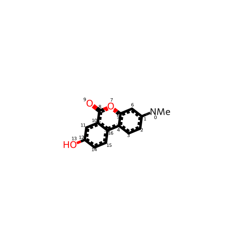 CNc1ccc2c(c1)oc(=O)c1cc(O)ccc12